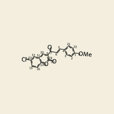 COc1ccc(C=CC(=O)c2cc3cc(Cl)ccc3oc2=O)cc1